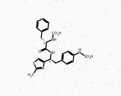 Cc1nc([C@H](Cc2ccc(NS(=O)(=O)O)cc2)NC(=O)[C@H](Cc2ccccc2)NC(=O)O)cs1